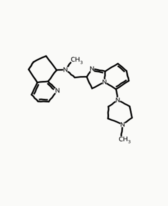 CN1CCN(C2=CC=CC3=NC(CN(C)C4CCCc5cccnc54)CN23)CC1